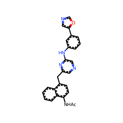 CC(=O)Nc1ccc(Cc2cncc(Nc3cccc(-c4cnco4)c3)n2)c2ccccc12